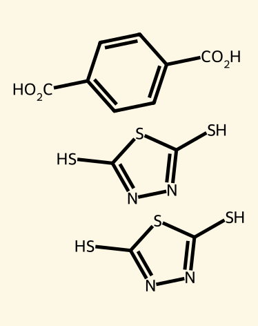 O=C(O)c1ccc(C(=O)O)cc1.Sc1nnc(S)s1.Sc1nnc(S)s1